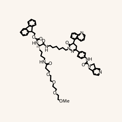 COCCOCCOCCOCCC(=O)NCCCC[C@H](NC(=O)OCC1c2ccccc2-c2ccccc21)C(=O)NCCCCCCN1N=C(c2ccc(NC(=O)N3Cc4ccncc4C3)cc2)CC(c2cccc3ncccc23)C1=O